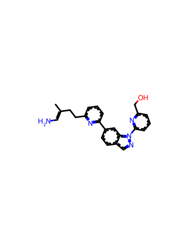 CC(=CN)CCc1cccc(-c2ccc3cnn(-c4cccc(CO)n4)c3c2)n1